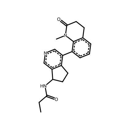 CCC(=O)NC1CCc2c(-c3cccc4c3N(C)C(=O)CC4)cncc21